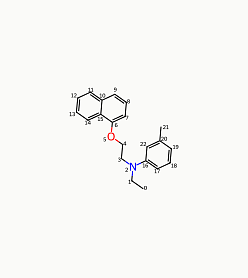 CCN(CCOc1cccc2ccccc12)c1cccc(C)c1